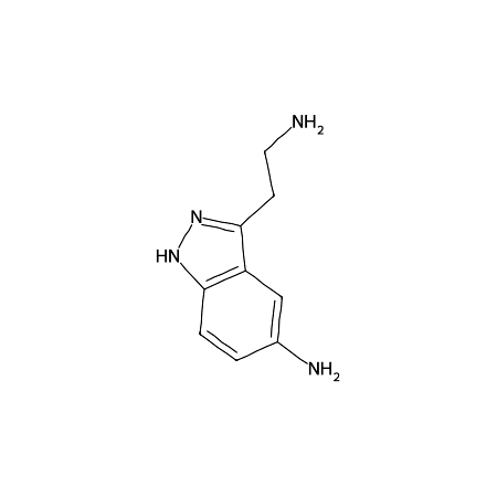 NCCc1n[nH]c2ccc(N)cc12